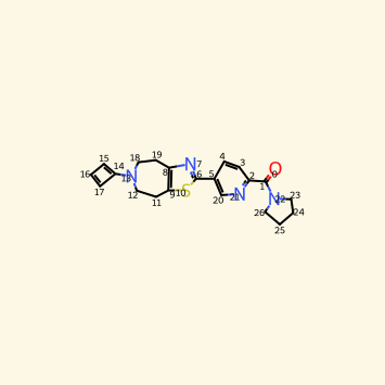 O=C(c1ccc(-c2nc3c(s2)CCN(C2=CC=C2)CC3)cn1)N1CCCC1